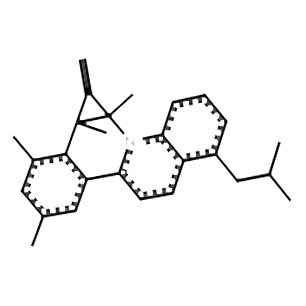 C=C1C2(C)c3c(C)cc(C)cc3-c3ccc4c(CC(C)C)cccc4[n+]3C12C